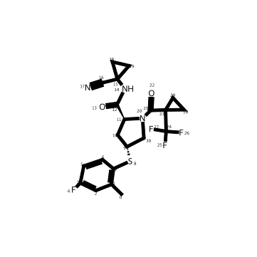 Cc1cc(F)ccc1S[C@@H]1C[C@@H](C(=O)NC2(C#N)CC2)N(C(=O)C2(C(F)(F)F)CC2)C1